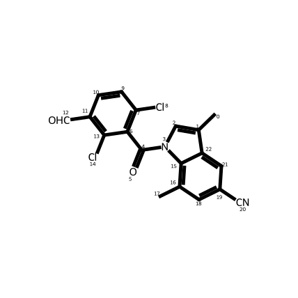 Cc1cn(C(=O)c2c(Cl)ccc(C=O)c2Cl)c2c(C)cc(C#N)cc12